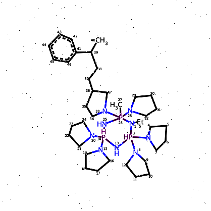 CCN1[PH](N2CCCC2)(N2CCCC2)N[PH](N2CCCC2)(N2CCCC2)NP1(C)(N1CCCC1)N1CCC(CCC(C)c2ccccc2)C1